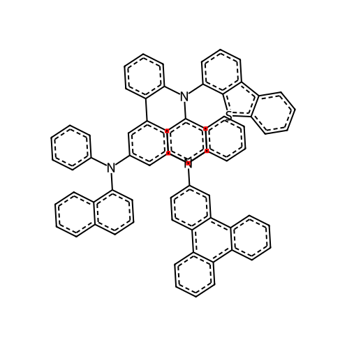 c1ccc(N(c2cc(-c3ccccc3N(c3ccccc3)c3cccc4c3sc3ccccc34)cc(N(c3ccccc3)c3cccc4ccccc34)c2)c2ccc3c4ccccc4c4ccccc4c3c2)cc1